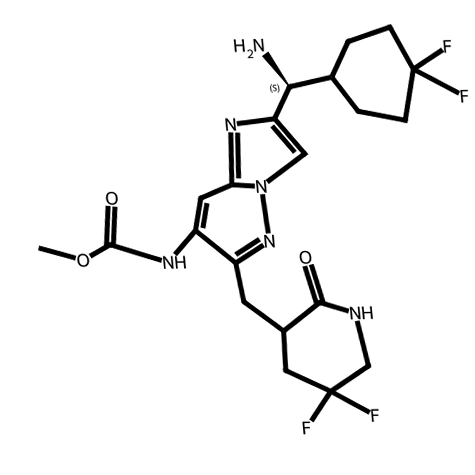 COC(=O)Nc1cc2nc([C@@H](N)C3CCC(F)(F)CC3)cn2nc1CC1CC(F)(F)CNC1=O